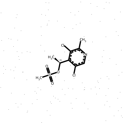 Cc1ncc(Cl)c([C@H](C)OS(C)(=O)=O)c1Cl